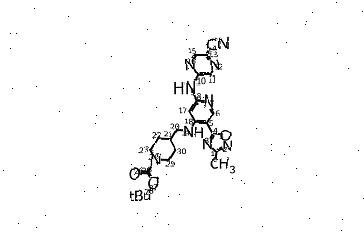 Cc1noc(-c2cnc(Nc3cnc(C#N)cn3)cc2NCC2CCN(C(=O)OC(C)(C)C)CC2)n1